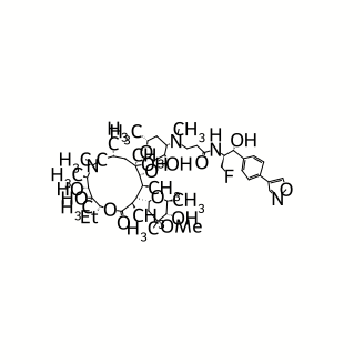 CC[C@H]1OC(=O)[C@H](C)C([C@H]2C[C@@](C)(OC)[C@@H](O)[C@H](C)O2)[C@H](C)[C@@H](O[C@@H]2O[C@H](C)C[C@H](N(C)CCC(=O)N[C@H](CF)[C@H](O)c3ccc(-c4cnoc4)cc3)[C@H]2O)[C@](C)(O)C[C@@H](C)CN(C)[C@H](C)[C@@H](O)[C@]1(C)O